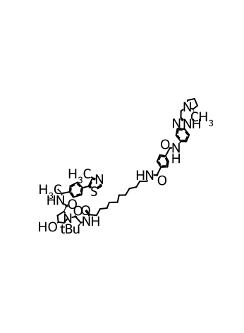 Cc1ncsc1-c1ccc([C@H](C)NC(=O)[C@@H]2C[C@@H](O)CN2C(=O)[C@@H](NC(=O)CCCCCCCCCCCNC(=O)c2ccc(C(=O)Nc3ccc4[nH]c(CN5CCC[C@@H]5C)nc4c3)cc2)C(C)(C)C)cc1